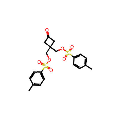 Cc1ccc(S(=O)(=O)OCC2(COS(=O)(=O)c3ccc(C)cc3)CC(=O)C2)cc1